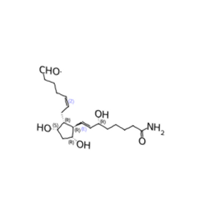 NC(=O)CCCC[C@@H](O)/C=C/[C@@H]1[C@@H](C/C=C\CCC[C]=O)[C@@H](O)C[C@H]1O